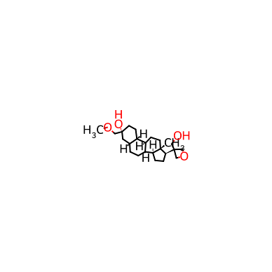 COC[C@@]1(O)CC[C@H]2[C@H](CC[C@@H]3[C@@H]2CC[C@]2(C)[C@@H](C4(CO)COC4)CC[C@@H]32)C1